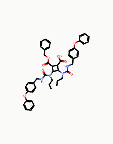 CCCN(C(=O)NCc1ccc(Oc2ccccc2)cc1)C1C(C(=O)O)C(C(=O)OCc2ccccc2)C1N(CCC)C(=O)NCc1ccc(Oc2ccccc2)cc1